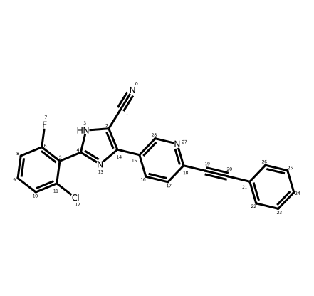 N#Cc1[nH]c(-c2c(F)cccc2Cl)nc1-c1ccc(C#Cc2ccccc2)nc1